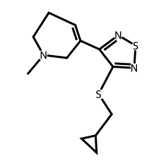 CN1CCC=C(c2nsnc2SCC2CC2)C1